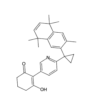 Cc1cc2c(cc1C1(c3ccc(C4=C(O)CCCC4=O)cn3)CC1)C(C)(C)C=CC2(C)C